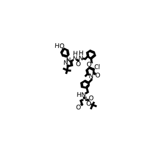 Cc1cc(OCc2ccccc2CNC(=O)Nc2cc(C(C)(C)C)nn2-c2ccc(O)cc2)c(Cl)c(=O)n1Cc1cccc(CNN(CC=O)C(=O)OC(C)(C)C)c1